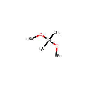 CCCC[O][Ge]([CH3])([CH3])[O]CCCC